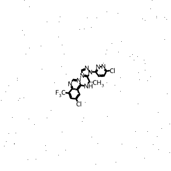 C[C@H](Nc1ncnc2c(C(F)(F)F)cc(Cl)cc12)c1ncnn1-c1ccc(Cl)nn1